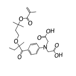 C=C(C)C(=O)OC(C)(C)CCOC(C)(CC)C(=O)c1ccc(N(CC(=O)O)CC(=O)O)cc1